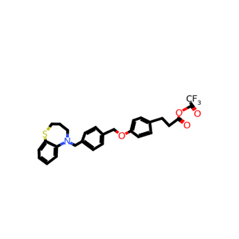 O=C(CCc1ccc(OCc2ccc(CN3CCCSc4ccccc43)cc2)cc1)OC(=O)C(F)(F)F